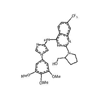 COc1cc(-n2cnc(Nc3nc(N4CCCC4CO)nc4cc(C(F)(F)F)ccc34)c2)cc(OC)c1OC